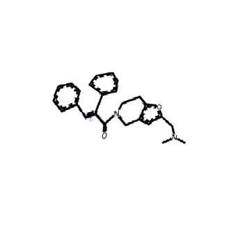 CN(C)Cc1cc2c(o1)CCN(C(=O)/C(=C/c1ccccc1)c1ccccc1)C2